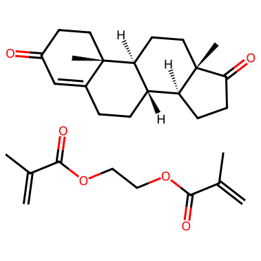 C=C(C)C(=O)OCCOC(=O)C(=C)C.C[C@]12CCC(=O)C=C1CC[C@@H]1[C@@H]2CC[C@]2(C)C(=O)CC[C@@H]12